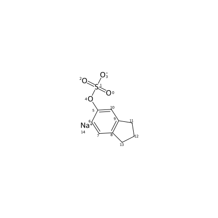 O=S(=O)([O-])Oc1ccc2c(c1)CCC2.[Na+]